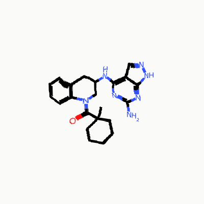 CC1(C(=O)N2CC(Nc3nc(N)nc4[nH]ncc34)Cc3ccccc32)CCCCC1